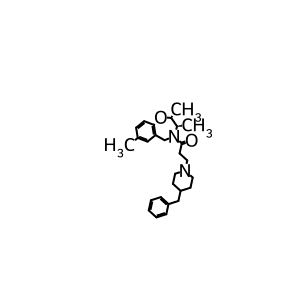 Cc1ccc2c(c1)CN(C(=O)CCN1CCC(Cc3ccccc3)CC1)[C@H](C)[C@H](C)O2